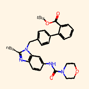 CCCCc1nc2ccc(NC(=O)N3CCOCC3)cc2n1Cc1ccc(-c2ccccc2C(=O)OC(C)(C)C)cc1